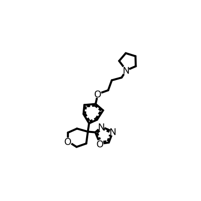 c1nnc(C2(c3ccc(OCCCN4CCCC4)cc3)CCOCC2)o1